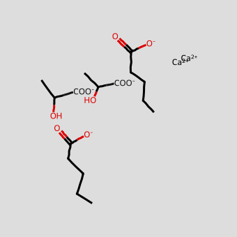 CC(O)C(=O)[O-].CC(O)C(=O)[O-].CCCCC(=O)[O-].CCCCC(=O)[O-].[Ca+2].[Ca+2]